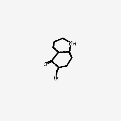 O=C1C(Br)CCC2NCCCC12